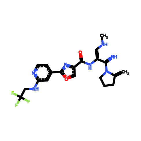 C=C1CCCN1C(=N)/C(=C\NC)NC(=O)c1coc(-c2ccnc(NCC(F)(F)F)c2)n1